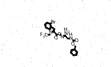 NC(CNC(=O)OCc1ccccc1)=NOC(=O)c1cc2c(Br)cccc2n1CC(F)(F)F